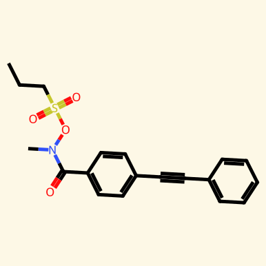 CCCS(=O)(=O)ON(C)C(=O)c1ccc(C#Cc2ccccc2)cc1